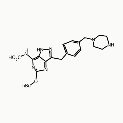 CCCCOc1nc(NC(=O)O)c2[nH]nc(Cc3ccc(CN4CCNCC4)cc3)c2n1